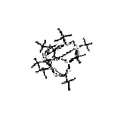 CC(C)(C)[Si]12O[Si]3(C(C)(C)C)O[Si]4(C(C)(C)C)O[Si](C(C)(C)C)(O1)O[Si]1(C(C)(C)C)O[Si](C(C)(C)C)(O2)O[Si](C(C)(C)C)(O3)O[Si](C(C)(C)C)(O4)O1